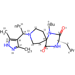 CCCCN1C(=O)[C@H](CC(C)C)NC(=O)C12CCN(C(CCC)c1c(C)n[nH]c1C)CC2